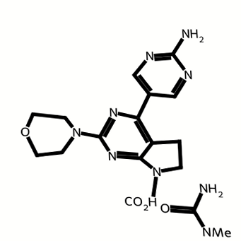 CNC(N)=O.Nc1ncc(-c2nc(N3CCOCC3)nc3c2CCN3C(=O)O)cn1